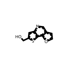 OCc1cc2ncc3ccoc3c2s1